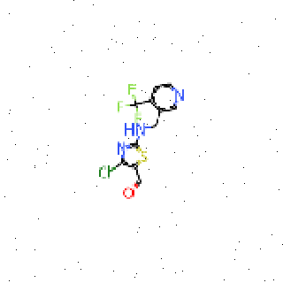 O=Cc1sc(NCc2cnccc2C(F)(F)F)nc1Cl